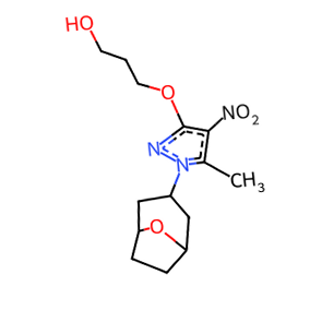 Cc1c([N+](=O)[O-])c(OCCCO)nn1C1CC2CCC(C1)O2